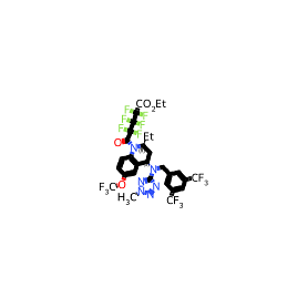 CCOC(=O)C(F)(F)C(F)(F)C(F)(F)C(=O)N1c2ccc(OC(F)(F)F)cc2[C@@H](N(Cc2cc(C(F)(F)F)cc(C(F)(F)F)c2)c2nnn(C)n2)C[C@H]1CC